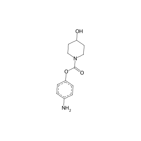 Nc1ccc(OC(=O)N2CCC(O)CC2)cc1